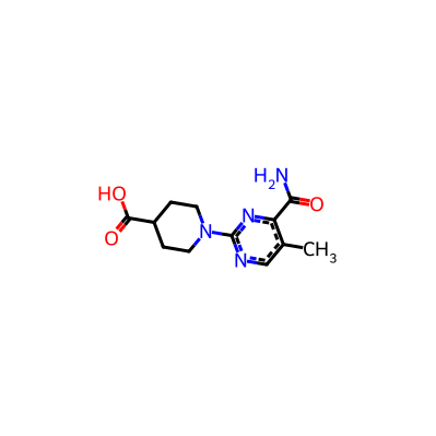 Cc1cnc(N2CCC(C(=O)O)CC2)nc1C(N)=O